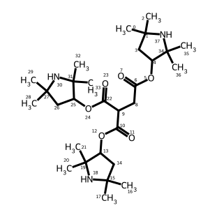 CC1(C)CC(OC(=O)CC(C(=O)OC2CC(C)(C)NC2(C)C)C(=O)OC2CC(C)(C)NC2(C)C)C(C)(C)N1